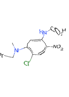 CC(C)CN(C)c1cc(NC(=O)O)c([N+](=O)[O-])cc1Cl